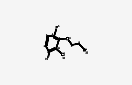 Fc1ccc(F)c(OCCBr)c1Cl